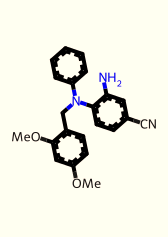 COc1ccc(CN(c2ccccc2)c2ccc(C#N)cc2N)c(OC)c1